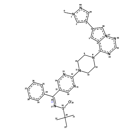 Cn1cc(-c2cc3c(N4CCN(c5ncc(/C(=N\[S+]([O-])C(C)(C)C)c6ccccc6)cn5)CC4)ncnn3c2)cn1